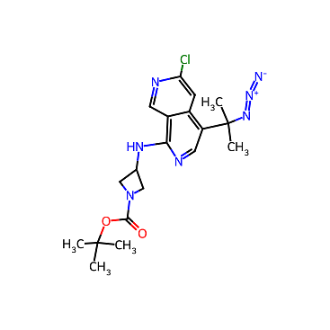 CC(C)(C)OC(=O)N1CC(Nc2ncc(C(C)(C)N=[N+]=[N-])c3cc(Cl)ncc23)C1